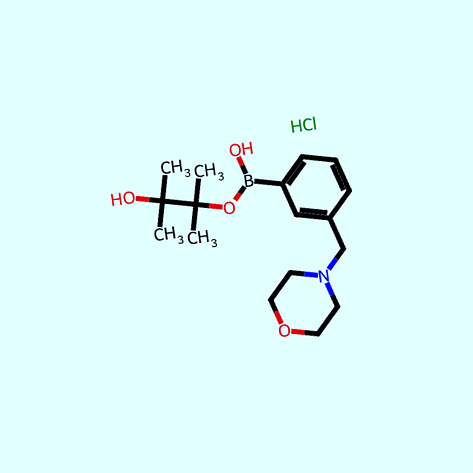 CC(C)(O)C(C)(C)OB(O)c1cccc(CN2CCOCC2)c1.Cl